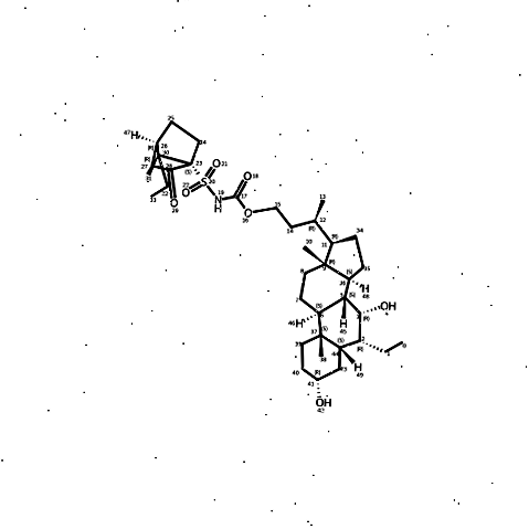 CC[C@H]1[C@@H](O)[C@@H]2[C@H](CC[C@]3(C)[C@@H]([C@H](C)CCOC(=O)NS(=O)(=O)[C@]45CC[C@H](CC4=O)[C@@]5(C)CC)CC[C@@H]23)[C@@]2(C)CC[C@@H](O)C[C@@H]12